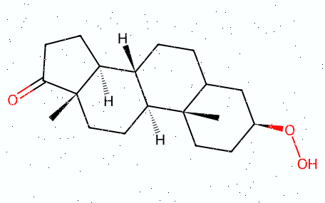 C[C@]12CC[C@H](OO)CC1CC[C@@H]1[C@@H]2CC[C@]2(C)C(=O)CC[C@@H]12